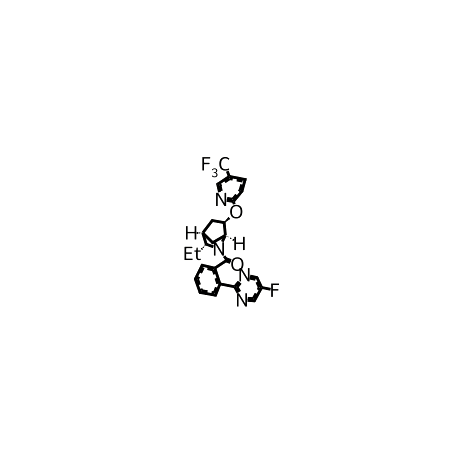 CC[C@@H]1[C@H]2C[C@@H](Oc3ccc(C(F)(F)F)cn3)[C@H](C2)N1C(=O)c1ccccc1-c1ncc(F)cn1